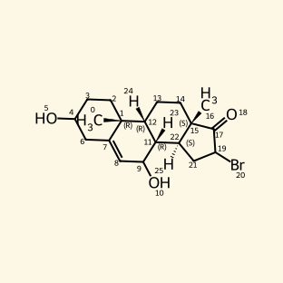 C[C@]12CCC(O)CC1=CC(O)[C@@H]1[C@H]2CC[C@]2(C)C(=O)C(Br)C[C@@H]12